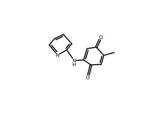 CC1=CC(=O)C(Nc2ccccn2)=CC1=O